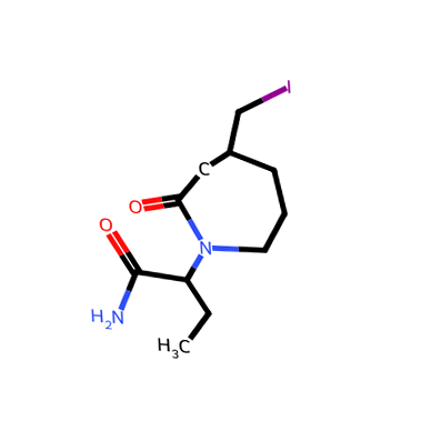 CCC(C(N)=O)N1CCCC(CI)CC1=O